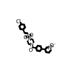 O=C(c1ccc(-c2ccc[n+]([O-])c2)cc1)N1CCN(S(=O)(=O)C=Cc2ccc(Cl)cc2)CC1